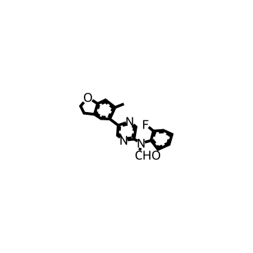 Cc1cc2c(cc1-c1cnc(N(C=O)c3ccccc3F)cn1)CCO2